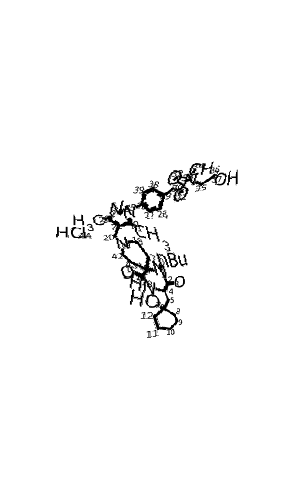 CCCCN1C(=O)[C@@H](CC2(O)CCCCC2)NC(=O)C12CCN(Cc1c(C)nn(-c3ccc(S(=O)(=O)N(C)CCO)cc3)c1C)CC2.Cl